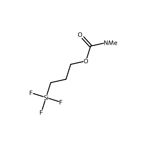 CNC(=O)OCCC[Si](F)(F)F